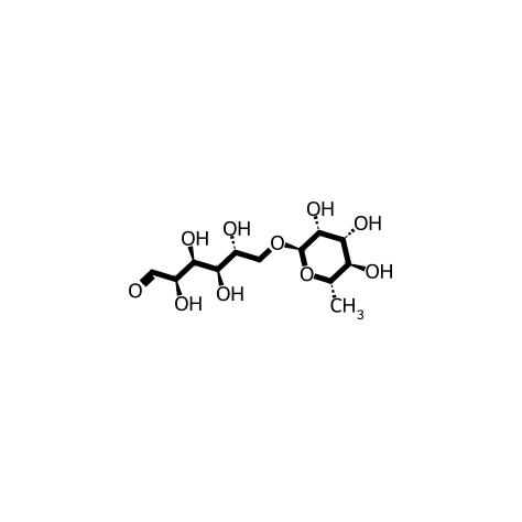 C[C@@H]1O[C@@H](OC[C@@H](O)[C@@H](O)[C@H](O)[C@@H](O)C=O)[C@H](O)[C@H](O)[C@H]1O